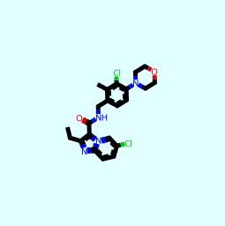 CCc1nc2ccc(Cl)cn2c1C(=O)NCc1ccc(N2CCOCC2)c(Cl)c1C